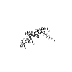 COCCCOc1cc(C(=O)N(C[C@@H]2CNC[C@H]2CN(C)C(=O)[C@H]2CC[C@H](OC)CC2)C(C)C)ccc1OC